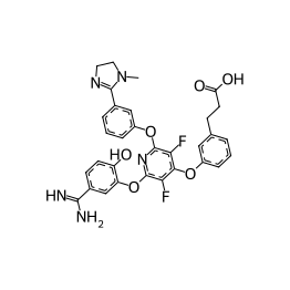 CN1CCN=C1c1cccc(Oc2nc(Oc3cc(C(=N)N)ccc3O)c(F)c(Oc3cccc(CCC(=O)O)c3)c2F)c1